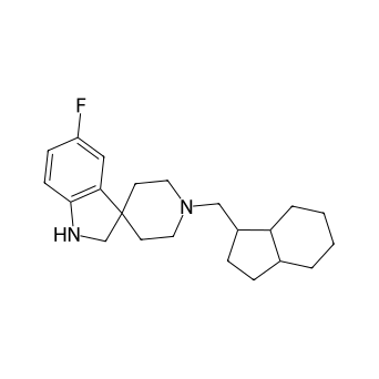 Fc1ccc2c(c1)C1(CCN(CC3CCC4CCCCC43)CC1)CN2